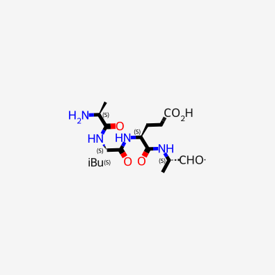 CC[C@H](C)[C@H](NC(=O)[C@H](C)N)C(=O)N[C@@H](CCC(=O)O)C(=O)N[C@@H](C)[C]=O